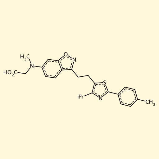 Cc1ccc(-c2nc(C(C)C)c(CCc3noc4cc(N(C)CC(=O)O)ccc34)s2)cc1